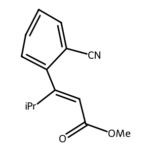 COC(=O)C=C(c1ccccc1C#N)C(C)C